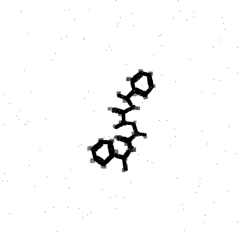 CC(OC(=O)N(C)CN(C)C(=O)OC(C)c1ccccc1)c1ccccc1